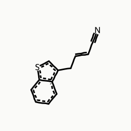 N#CC=CCc1csc2ccccc12